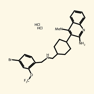 CNc1c(C2CCC(CNCc3ccc(Br)cc3OC(F)(F)F)CC2)c(N)nc2ccccc12.Cl.Cl